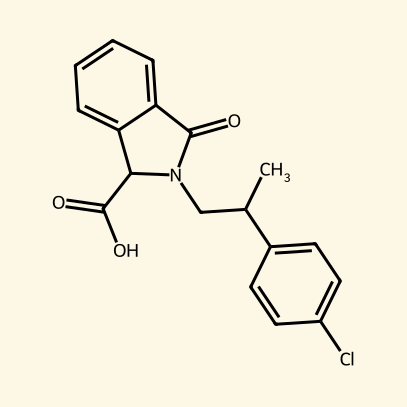 CC(CN1C(=O)c2ccccc2C1C(=O)O)c1ccc(Cl)cc1